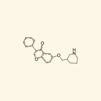 O=c1c(-c2ccccc2)coc2ccc(OCC3CCCNC3)cc12